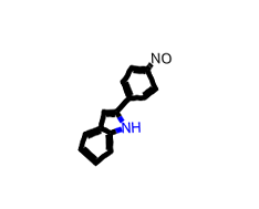 O=Nc1ccc(-c2cc3ccccc3[nH]2)cc1